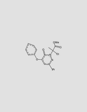 CCC(C)(C(=O)OC)n1nc(C(C)C)cc(Oc2ccccc2)c1=O